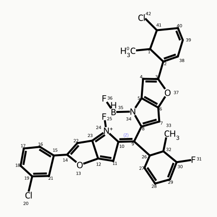 CC1C(c2cc3c(cc(/C(=C4/C=c5oc(-c6cccc(Cl)c6)cc5=[N+]4F)C4C=CC=C(F)C4C)n3BF)o2)=CC=CC1Cl